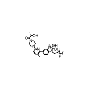 Cc1ccc(N2CCN(C(=O)[C@H](C)O)CC2)nc1-c1ccc2c(c1)N(C)S(O)(O)N2CC1CC1(F)F